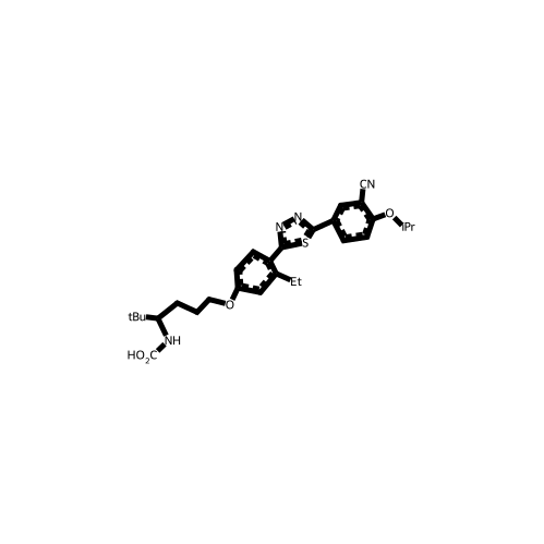 CCc1cc(OCCCC(NC(=O)O)C(C)(C)C)ccc1-c1nnc(-c2ccc(OC(C)C)c(C#N)c2)s1